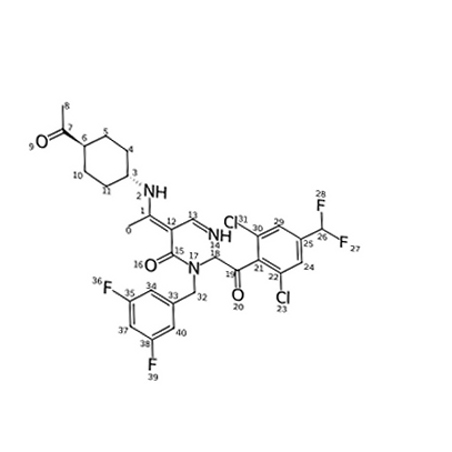 C/C(N[C@H]1CC[C@H](C(C)=O)CC1)=C(/C=N)C(=O)N(CC(=O)c1c(Cl)cc(C(F)F)cc1Cl)Cc1cc(F)cc(F)c1